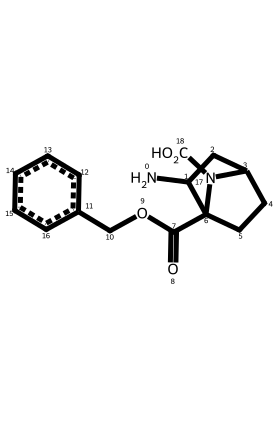 NC1CC2CCC1(C(=O)OCc1ccccc1)N2C(=O)O